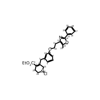 CCOC(=O)C1=C(Cc2cccc(OCCc3nc(-c4ccccc4)oc3C)c2)CN(Cl)CC1